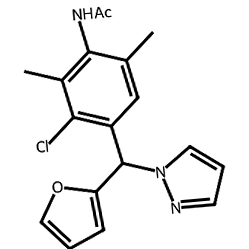 CC(=O)Nc1c(C)cc(C(c2ccco2)n2cccn2)c(Cl)c1C